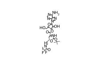 CC(C)(C)OC(=O)N[C@@H](CCCCNC(=O)C(F)(F)I)C(=O)O[C@H]1[C@@H](O)[C@H](n2cnc3c(N)ncnc32)O[C@@H]1CO